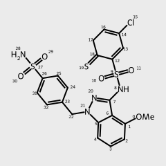 COc1cccc2c1c(NS(=O)(=O)C1=CC(Cl)=CCC1=S)nn2Cc1ccc(S(N)(=O)=O)cc1